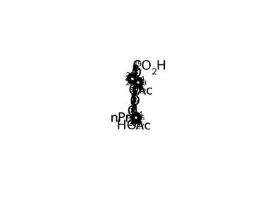 CCCc1c(OCCOCCOc2c(C(C)=O)ccc3c(OCC(=O)O)cccc23)ccc(C(C)=O)c1O